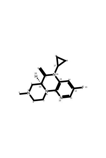 C=C1[C@@H]2CN(C)CCN2c2ncc(F)cc2N1C1CC1